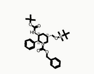 CC(C)(C)OC(=O)N[C@H]1C[C@H](CO[Si](C)(C)C(C)(C)C)CN(C(=O)OCc2ccccc2)[C@H]1c1ccccc1